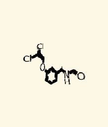 O=CN[CH]c1cccc(OC=C(Cl)Cl)c1